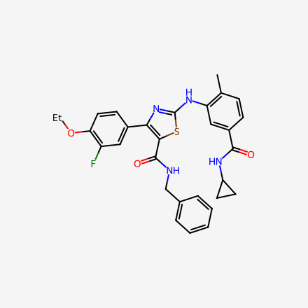 CCOc1ccc(-c2nc(Nc3cc(C(=O)NC4CC4)ccc3C)sc2C(=O)NCc2ccccc2)cc1F